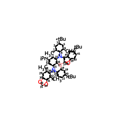 Cc1cc(C(C)(C)C)cc(C)c1N1c2cc(C(C)C)cc3c2B(c2cc(C(C)(C)C)ccc2N3c2c(C)cc3c(c2C)OCO3)c2oc3ccc(C(C)(C)C)cc3c21